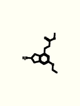 CCOc1cc(CCC(=O)OC)c2c(c1)CC(N)C2